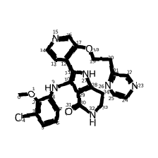 COc1c(Cl)cccc1Nc1c(-c2ccncc2OCCc2cnccn2)[nH]c2c1C(=O)NCC2